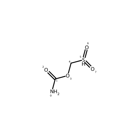 NC(=O)OC[SH](=O)=O